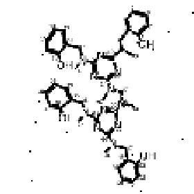 CC(Cc1ccccc1O)c1nc(N(C)Cc2ccccc2O)nc(N(C)CN(C)c2nc(N(C)Cc3ccccc3O)nc(N(C)Cc3ccccc3O)n2)n1